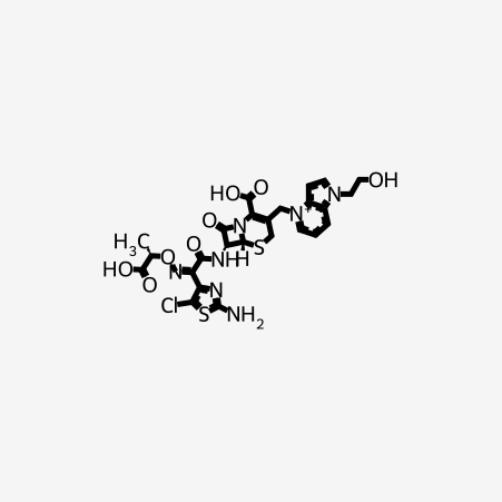 C[C@H](O/N=C(\C(=O)N[C@@H]1C(=O)N2C(C(=O)O)=C(C[n+]3cccc4c3ccn4CCO)CS[C@H]12)c1nc(N)sc1Cl)C(=O)O